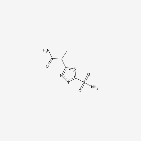 CC(C(N)=O)c1nnc(S(N)(=O)=O)s1